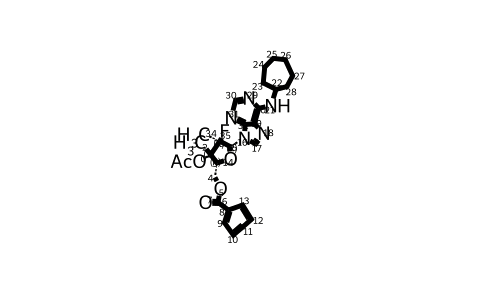 CC(=O)O[C@@]1(C)[C@@H](COC(=O)c2ccccc2)O[C@@H](n2cnc3c(NC4CCCCCC4)ncnc32)[C@]1(C)F